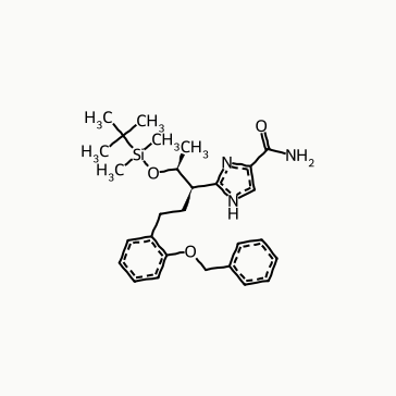 C[C@H](O[Si](C)(C)C(C)(C)C)[C@H](CCc1ccccc1OCc1ccccc1)c1nc(C(N)=O)c[nH]1